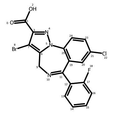 O=C(O)c1nn2c(c1Br)CN=C(c1ccccc1F)c1cc(Cl)ccc1-2